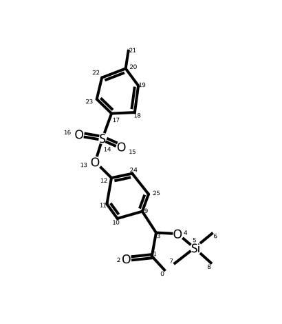 CC(=O)C(O[Si](C)(C)C)c1ccc(OS(=O)(=O)c2ccc(C)cc2)cc1